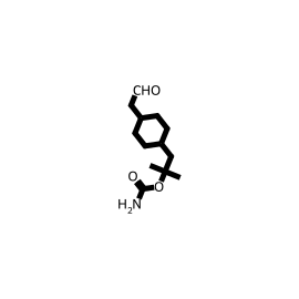 CC(C)(CC1CCC(CC=O)CC1)OC(N)=O